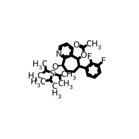 CC(=O)OC1c2cccnc2[C@H](O[Si](C(C)C)(C(C)C)C(C)C)CCC1c1cccc(F)c1F